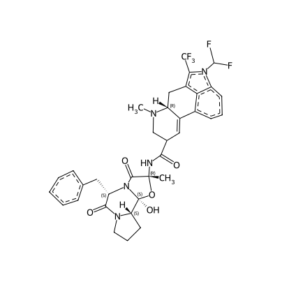 CN1CC(C(=O)N[C@]2(C)O[C@@]3(O)[C@@H]4CCCN4C(=O)[C@H](Cc4ccccc4)N3C2=O)C=C2c3cccc4c3c(c(C(F)(F)F)n4C(F)F)C[C@H]21